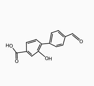 O=Cc1ccc(-c2ccc(C(=O)O)cc2O)cc1